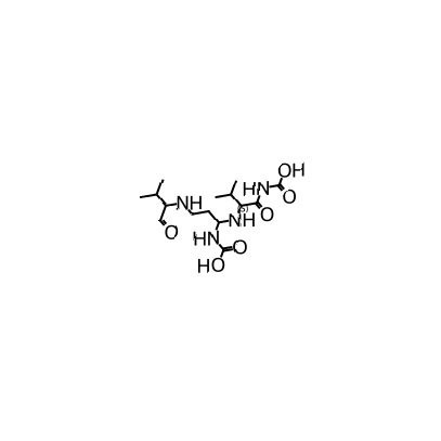 CC(C)C(C=O)NCCC(NC(=O)O)N[C@H](C(=O)NC(=O)O)C(C)C